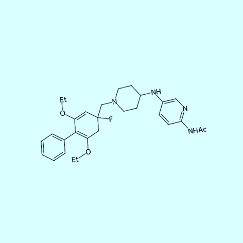 CCOC1=CC(F)(CN2CCC(Nc3ccc(NC(C)=O)nc3)CC2)CC(OCC)=C1c1ccccc1